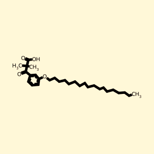 CCCCCCCCCCCCCCCCCCOc1cccc(C(=O)C(C)(C)C(=O)O)c1